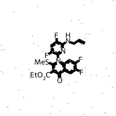 C=CCNc1nc(-n2c(SC)c(C(=O)OCC)c(=O)c3cc(F)c(F)cc32)c(F)cc1F